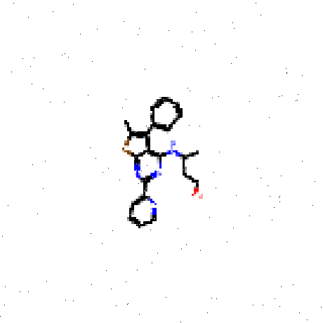 Cc1sc2nc(-c3ccccn3)nc(NC(C)CCO)c2c1-c1ccccc1